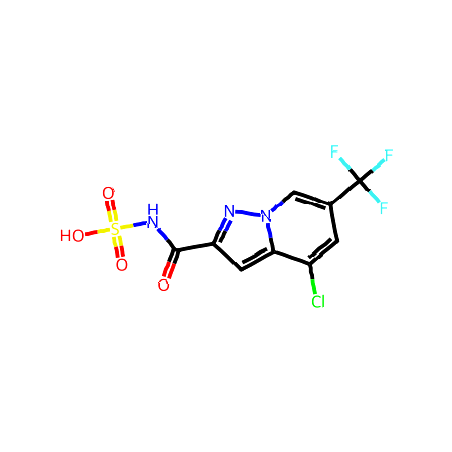 O=C(NS(=O)(=O)O)c1cc2c(Cl)cc(C(F)(F)F)cn2n1